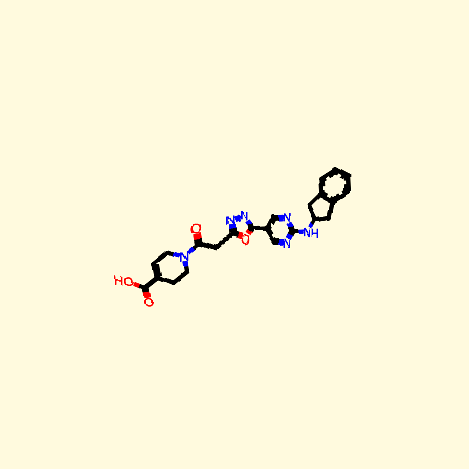 O=C(O)C1=CCN(C(=O)Cc2nnc(-c3cnc(NC4Cc5ccccc5C4)nc3)o2)CC1